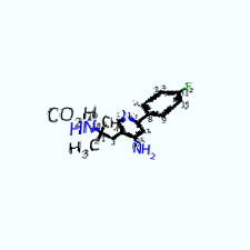 CC(C)(Cc1cnc(-c2ccc(F)cc2)cc1N)NC(=O)O